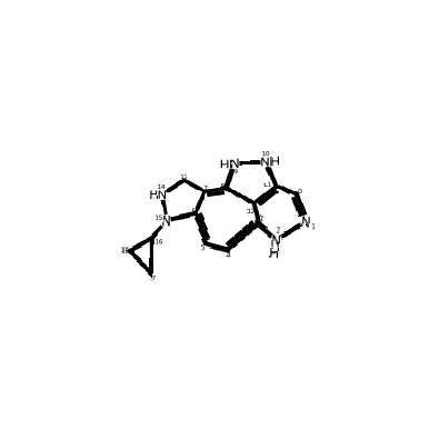 C1=NNC2=CC=C3C(=C4NNC1=C24)CNN3C1CC1